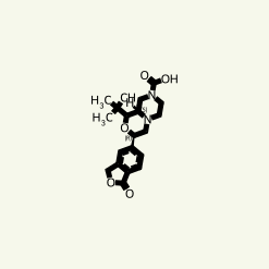 CC(C)(C)C1O[C@H](c2ccc3c(c2)COC3=O)CN2CCN(C(=O)O)C[C@@H]12